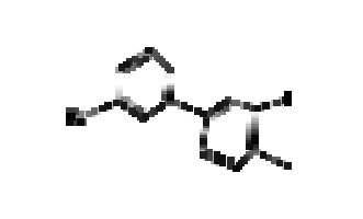 CCc1cccc(-c2ccc(C)c(F)c2)c1